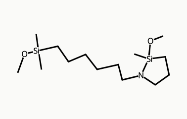 CO[Si](C)(C)CCCCCCN1CCC[Si]1(C)OC